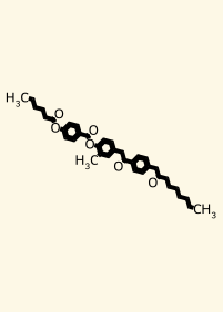 CCCCCCCC(=O)Cc1ccc(C(=O)Cc2ccc(OC(=O)c3ccc(OC(=O)CCCCC)cc3)c(C)c2)cc1